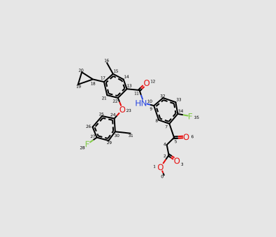 COC(=O)CC(=O)c1cc(NC(=O)c2cc(C)c(C3CC3)cc2Oc2ccc(F)cc2C)ccc1F